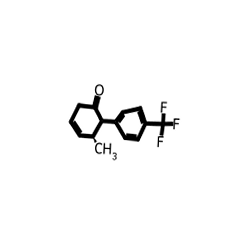 C[C@@H]1C=CCC(=O)C1c1ccc(C(F)(F)F)cc1